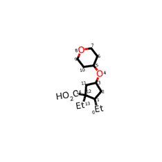 CCC1CC(OC2CCOCC2)CC1(CC)C(=O)O